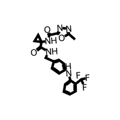 Cc1nnc(C(=O)NC2(C(=O)NCc3ccc(Nc4ccccc4C(F)(F)F)cc3)CC2)o1